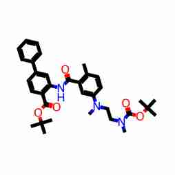 Cc1ccc(N(C)CCN(C)C(=O)OC(C)(C)C)cc1C(=O)Nc1cc(-c2ccccc2)ccc1C(=O)OC(C)(C)C